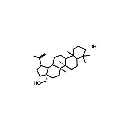 C=C(C)[C@@H]1CC[C@]2(CO)CC[C@]3(C)C(CCC4C5(C)CC[C@H](O)C(C)(C)C5CC[C@]43C)C12